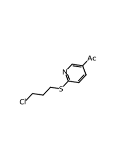 CC(=O)c1ccc(SCCCCl)nc1